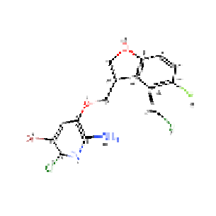 Nc1nc(Cl)c(Br)cc1OCC1COc2ccc(F)c(CCl)c21